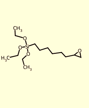 CCO[Si](CCCCCCC1CO1)(OCC)OCC